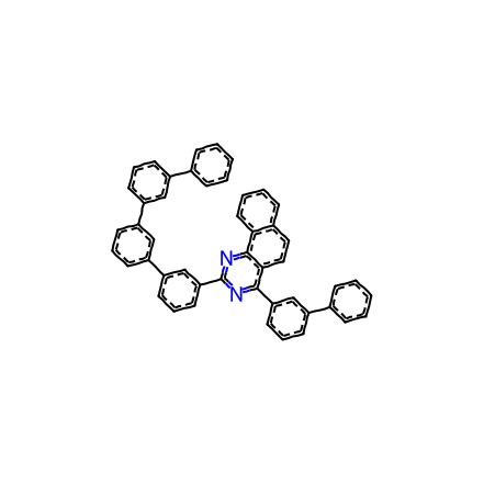 c1ccc(-c2cccc(-c3cccc(-c4cccc(-c5nc(-c6cccc(-c7ccccc7)c6)c6ccc7ccccc7c6n5)c4)c3)c2)cc1